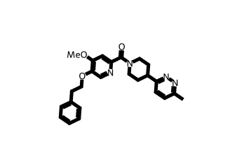 COc1cc(C(=O)N2CCC(c3ccc(C)nn3)CC2)ncc1OCCc1ccccc1